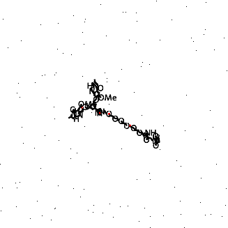 COc1cc2c(cc1OCc1cc(COc3cc4c(cc3OC)C(=O)N3C=C(C)C[C@H]3C=N4)cc(-c3cn(CCOCCOCCOCCOCCOCCOCCN(N)C(=O)CCN4C(=O)C=CC4=O)nn3)c1)N=C[C@@H]1CC(C)=CN1C2=O